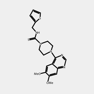 COc1cc2ncnc(N3CCN(C(=S)NCc4cccs4)CC3)c2cc1OC